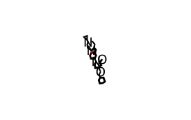 O=c1cc(OCc2ccccc2)ccn1-c1ccc2c(c1)cc1n2CCN(C2CC2)CC1